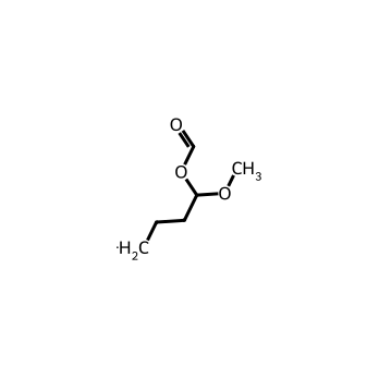 [CH2]CCC(OC)OC=O